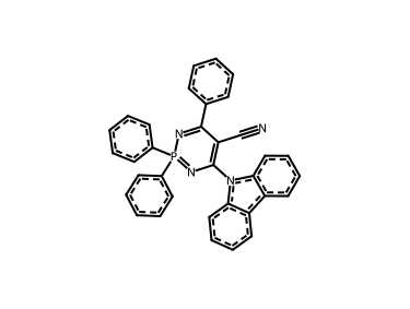 N#CC1=C(n2c3ccccc3c3ccccc32)N=P(c2ccccc2)(c2ccccc2)N=C1c1ccccc1